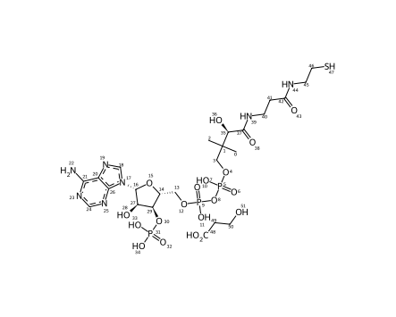 CC(C)(COP(=O)(O)OP(=O)(O)OC[C@H]1O[C@@H](n2cnc3c(N)ncnc32)[C@H](O)[C@@H]1OP(=O)(O)O)[C@@H](O)C(=O)NCCC(=O)NCCS.O=C(O)CCO